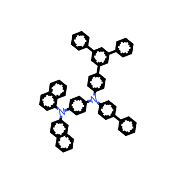 c1ccc(-c2ccc(N(c3ccc(-c4cc(-c5ccccc5)cc(-c5ccccc5)c4)cc3)c3ccc(N(c4ccc5ccccc5c4)c4cccc5ccccc45)cc3)cc2)cc1